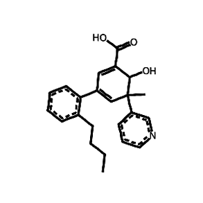 CCCCc1ccccc1C1=CC(C)(c2cccnc2)C(O)C(C(=O)O)=C1